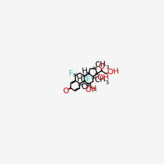 C[C@H]1C[C@H]2[C@@H]3C[C@@H](F)C4=CC(=O)C=C[C@]4(C)[C@@]3(F)[C@@H](O)C[C@]2(C)[C@@]1(O)C(=O)CO